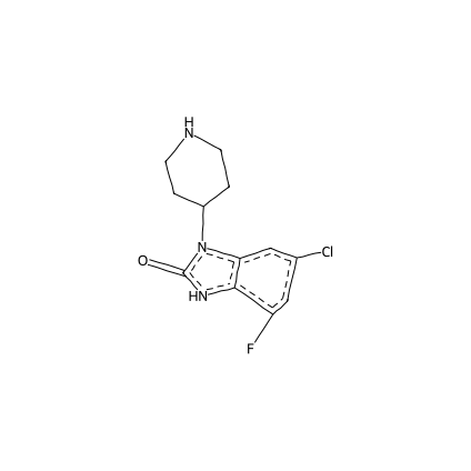 O=c1[nH]c2c(F)cc(Cl)cc2n1C1CCNCC1